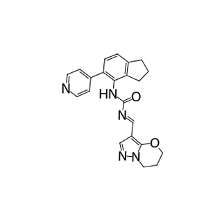 O=C(/N=C/c1cnn2c1OCCC2)Nc1c(-c2ccncc2)ccc2c1CCC2